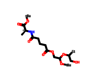 CCCCOC(=O)[C@H](C)NC(=O)CCCC(=O)OCC(OC(CC)CO)OC(C)(C)C